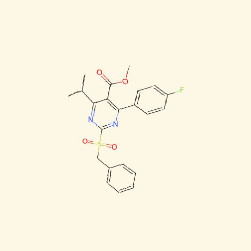 COC(=O)c1c(-c2ccc(F)cc2)nc(S(=O)(=O)Cc2ccccc2)nc1C(C)C